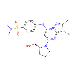 Cc1nn2c(Nc3ccc(S(=O)(=O)N(C)C)cc3)cc(N3CCC[C@H]3CO)nc2c1Br